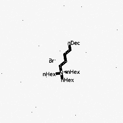 CCCCCCCCCCCCCC[N+](CCCCCC)(CCCCCC)CCCCCC.[Br-]